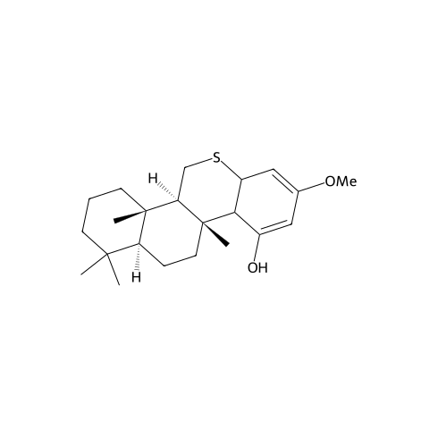 COC1=CC2SC[C@@H]3[C@@]4(C)CCCC(C)(C)[C@@H]4CC[C@@]3(C)C2C(O)=C1